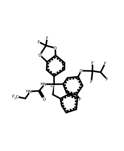 O=C(NCC(F)(F)F)N[C@@](Cc1ccccc1)(c1cc(F)cc(OC(F)(F)C(F)F)c1)c1ccc2c(c1)OC(F)(F)O2